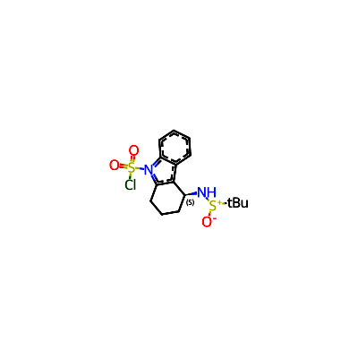 CC(C)(C)[S+]([O-])N[C@H]1CCCc2c1c1ccccc1n2S(=O)(=O)Cl